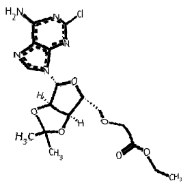 CCOC(=O)COC[C@H]1O[C@@H](n2cnc3c(N)nc(Cl)nc32)[C@@H]2OC(C)(C)O[C@@H]21